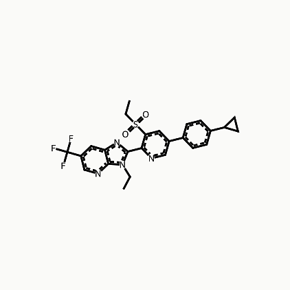 CCn1c(-c2ncc(-c3ccc(C4CC4)cc3)cc2S(=O)(=O)CC)nc2cc(C(F)(F)F)cnc21